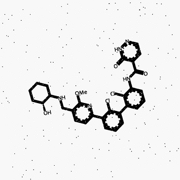 COc1nc(-c2cccc(-c3cccc(NC(=O)c4ccn[nH]c4=O)c3Cl)c2Cl)ccc1CNC1CCCC[C@@H]1O